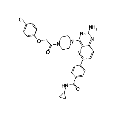 Nc1nc(N2CCN(C(=O)COc3ccc(Cl)cc3)CC2)c2nc(-c3ccc(C(=O)NC4CC4)cc3)ccc2n1